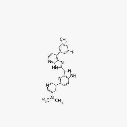 Cc1cc(F)cc(-c2ccnc3[nH]c(-c4n[nH]c5ccc(-c6cncc(N(C)C)c6)nc45)nc23)c1